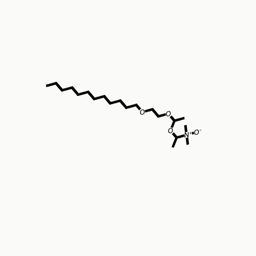 CCCCCCCCCCCCOCCOC(C)OC(C)[N+](C)(C)[O-]